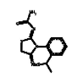 CSC(C)c1ccccc1N1C(=O)CSC1=NC(N)=O